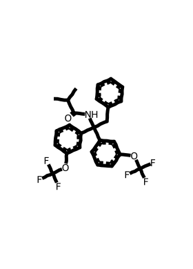 C[C](C)C(=O)NC(Cc1ccccc1)(c1cccc(OC(F)(F)F)c1)c1cccc(OC(F)(F)F)c1